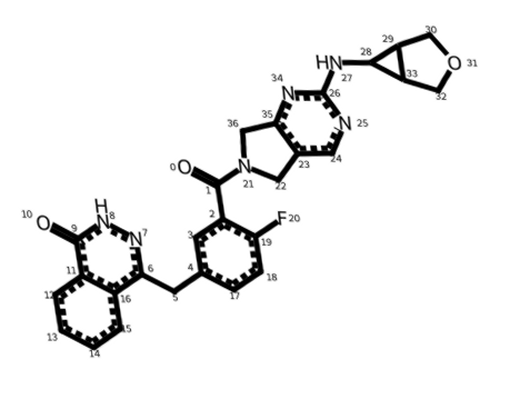 O=C(c1cc(Cc2n[nH]c(=O)c3ccccc23)ccc1F)N1Cc2cnc(NC3C4COCC43)nc2C1